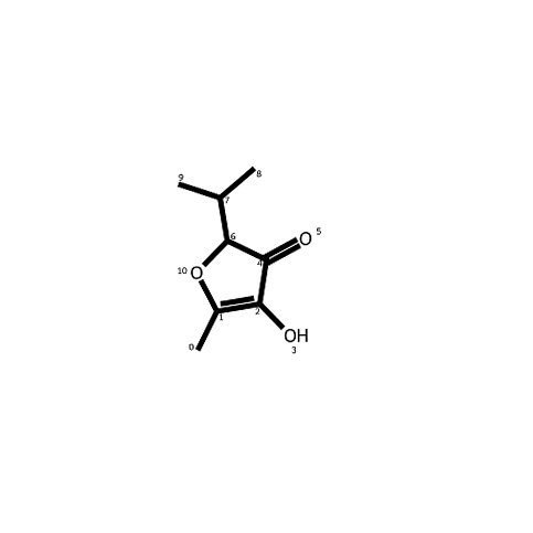 CC1=C(O)C(=O)C(C(C)C)O1